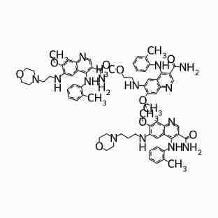 COCCNc1cc2c(Nc3ccccc3C)c(C(N)=O)cnc2cc1OC.COc1cc2ncc(C(N)=O)c(Nc3ccccc3C)c2cc1NCCCN1CCOCC1.COc1cc2ncc(C(N)=O)c(Nc3ccccc3C)c2cc1NCCN1CCOCC1